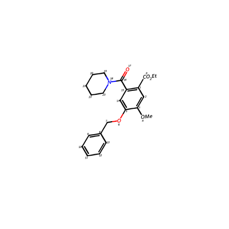 CCOC(=O)c1cc(OC)c(OCc2ccccc2)cc1C(=O)N1CCCCC1